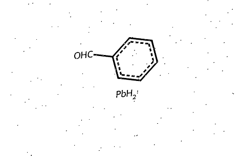 O=Cc1ccccc1.[PbH2]